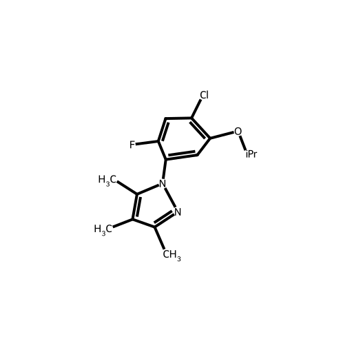 Cc1nn(-c2cc(OC(C)C)c(Cl)cc2F)c(C)c1C